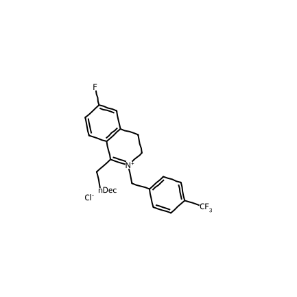 CCCCCCCCCCCC1=[N+](Cc2ccc(C(F)(F)F)cc2)CCc2cc(F)ccc21.[Cl-]